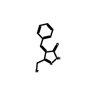 O=C1NN=C(CBr)/C1=C/c1ccccc1